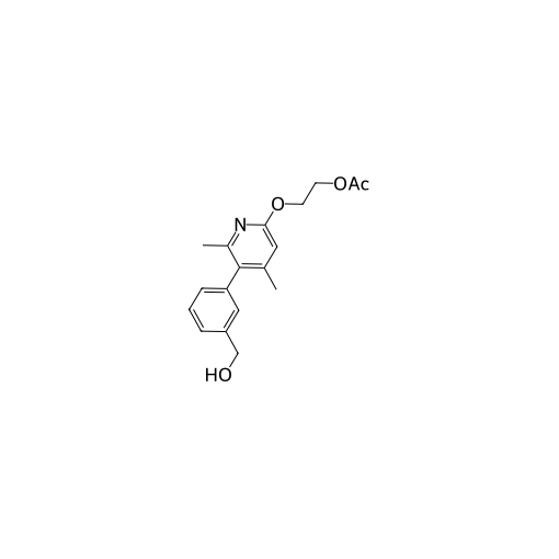 CC(=O)OCCOc1cc(C)c(-c2cccc(CO)c2)c(C)n1